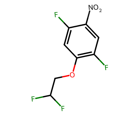 O=[N+]([O-])c1cc(F)c(OCC(F)F)cc1F